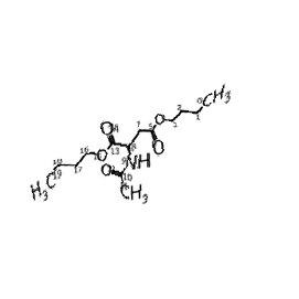 CCCCOC(=O)CC(NC(C)=O)C(=O)OCCCC